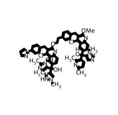 COc1nc2ccc(C(O)(c3ccc(C)nc3C)c3cnnn3C)cc2c(Cl)c1Cc1ccc(CCOc2nc3ccc(C(O)(C4=CN(C)NN4C)c4cnc(C)n4C)cc3c(Cl)c2Cc2ccc(-n3cccn3)cc2)cc1